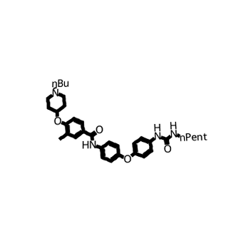 CCCCCNC(=O)Nc1ccc(Oc2ccc(NC(=O)c3ccc(OC4CCN(CCCC)CC4)c(C)c3)cc2)cc1